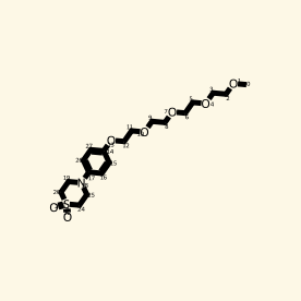 COCCOCCOCCOCCOc1ccc(N2CCS(=O)(=O)CC2)cc1